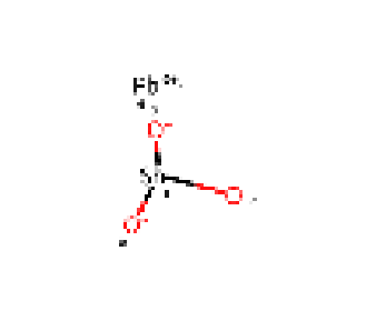 [O-][Sb]([O-])[O-].[Pb+3]